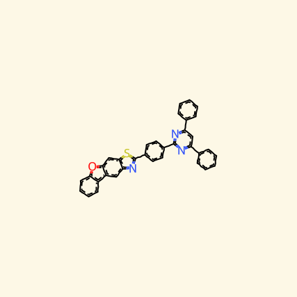 c1ccc(-c2cc(-c3ccccc3)nc(-c3ccc(-c4nc5cc6c(cc5s4)oc4ccccc46)cc3)n2)cc1